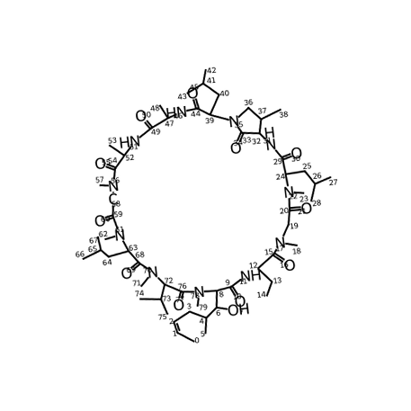 C/C=C\CC(C)C(O)C1C(=O)NC(CC)C(=O)N(C)CC(=O)N(C)C(CC(C)C)C(=O)NC2C(=O)N(CC2C)C(CC(C)C)C(=O)NC(C)C(=O)NC(C)C(=O)N(C)CC(=O)N(C)C(CC(C)C)C(=O)N(C)C(C(C)C)C(=O)N1C